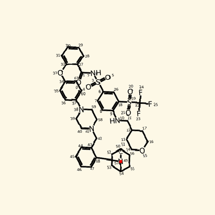 O=C(NS(=O)(=O)c1ccc(NCC2CCOCC2)c(S(=O)(=O)C(F)(F)F)c1)c1ccccc1Oc1ccc(N2CCN(Cc3ccccc3N3CC4CCC(CC4)C3)CC2)cc1